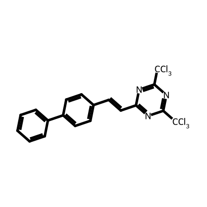 ClC(Cl)(Cl)c1nc(C=Cc2ccc(-c3ccccc3)cc2)nc(C(Cl)(Cl)Cl)n1